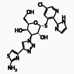 Nc1nc(-c2cn([C@@H]3[C@@H](O)[C@@H](Sc4cc(Cl)cnc4-c4ncc[nH]4)O[C@H](CO)[C@@H]3O)nn2)cs1